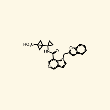 O=C(NC1(C23CC2(C(=O)O)C3)CC1)c1cncc2ccn(Cc3cc4ccccc4o3)c12